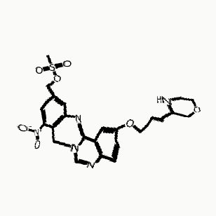 CS(=O)(=O)OCc1cc2c(c([N+](=O)[O-])c1)CN1C=Nc3ccc(OCCCC4COCCN4)cc3C1=N2